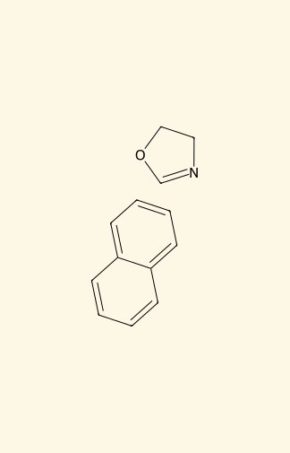 C1=NCCO1.c1ccc2ccccc2c1